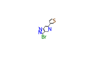 Cn1nc(Br)c2cnc(-c3ccsc3)cc21